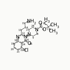 CC(C)(C)OC(=O)N1CCN(n2c(CCCN)nc3cccc(Cl)c3c2=O)CC1